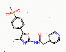 Cc1nc(NC(=O)Cc2ccncc2)sc1-c1ccc(S(C)(=O)=O)cc1